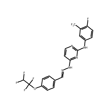 Fc1ccc(Nc2nccc(N/N=C/c3ccc(OC(F)(F)C(F)F)cc3)n2)cc1C(F)(F)F